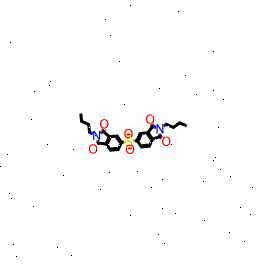 CCCCN1C(=O)c2ccc(S(=O)(=O)c3ccc4c(c3)C(=O)N(CCCC)C4=O)cc2C1=O